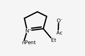 CC(=O)[O-].CCCCC[N+]1=C(CC)CCC1